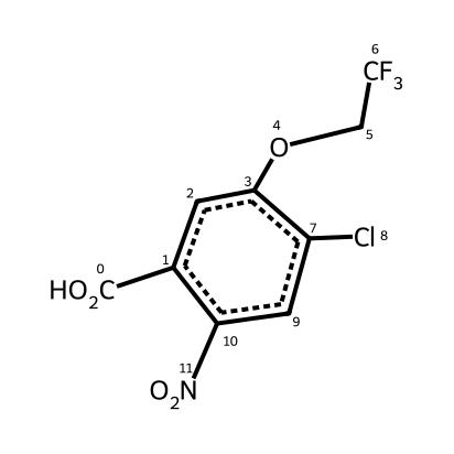 O=C(O)c1cc(OCC(F)(F)F)c(Cl)cc1[N+](=O)[O-]